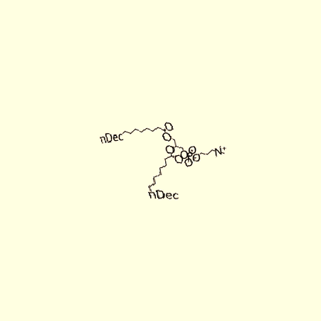 CCCCCCCCCCCCCCCCCC(=O)OCC(COP(=O)([O-])OCCC[N+](C)(C)C)OC(=O)CCCCCCCCCCCCCCCCC